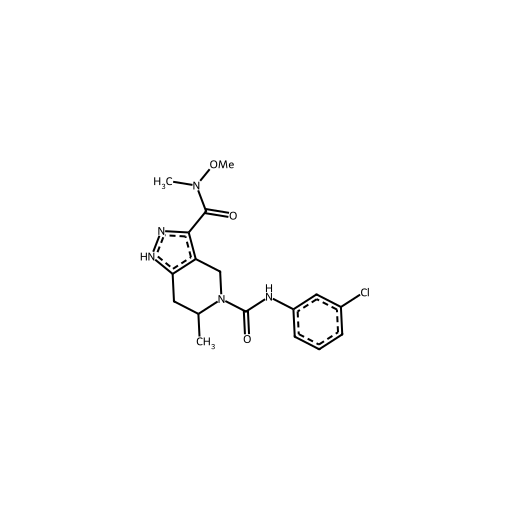 CON(C)C(=O)c1n[nH]c2c1CN(C(=O)Nc1cccc(Cl)c1)C(C)C2